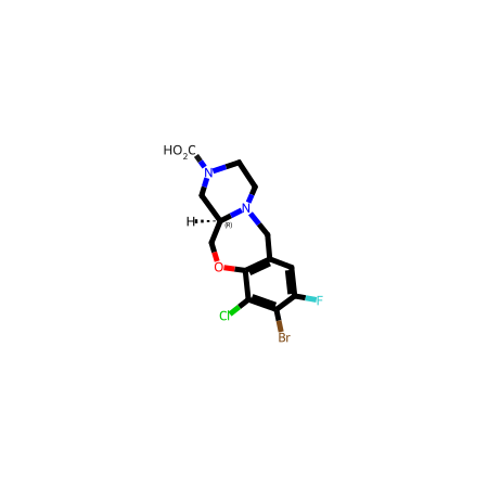 O=C(O)N1CCN2Cc3cc(F)c(Br)c(Cl)c3OC[C@H]2C1